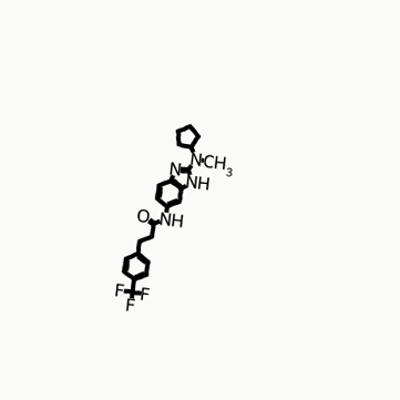 CN(c1nc2ccc(NC(=O)CCc3ccc(C(F)(F)F)cc3)cc2[nH]1)C1CCCC1